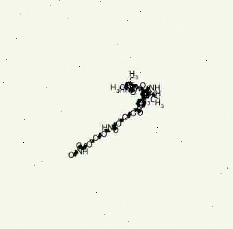 Cc1cc(C)c(CNC(=O)c2cc(C3=CCN(C(=O)COCCOCCOCC(=O)NCCOCCOCCOCCC(=O)NCC=O)CC3)cc(NC(C)C)c2C=N)c(=O)[nH]1